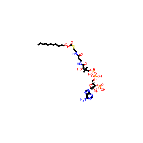 CCCCCCCCCCCOOC(=O)SCCNC(=O)CCNC(=O)[C@H](O)C(C)(C)COP(=O)(O)OP(=O)(O)OC[C@H]1O[C@@H](n2cnc3c(N)ncnc32)[C@H](O)[C@@H]1OP(=O)(O)O